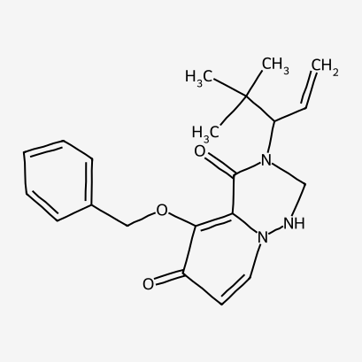 C=CC(N1CNn2ccc(=O)c(OCc3ccccc3)c2C1=O)C(C)(C)C